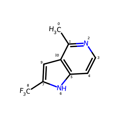 Cc1nccc2[nH]c(C(F)(F)F)cc12